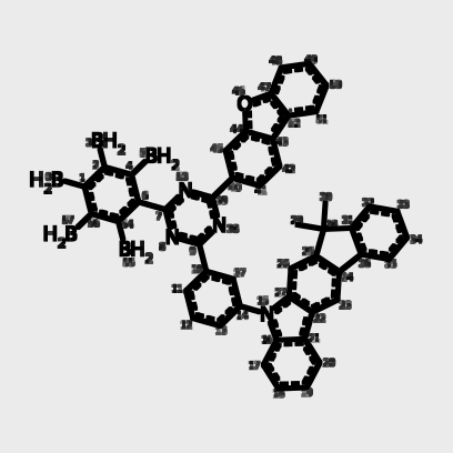 Bc1c(B)c(B)c(-c2nc(-c3cccc(-n4c5ccccc5c5cc6c(cc54)C(C)(C)c4ccccc4-6)c3)nc(-c3ccc4c(c3)oc3ccccc34)n2)c(B)c1B